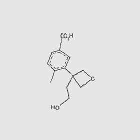 Cc1ccc(C(=O)O)cc1C1(CCO)COC1